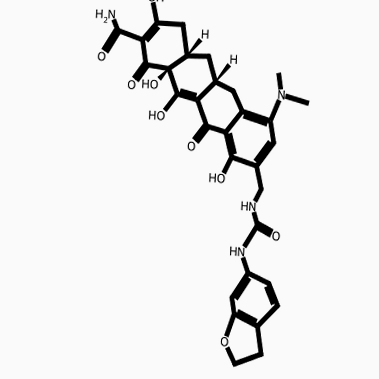 CN(C)c1cc(CNC(=O)Nc2ccc3c(c2)OCC3)c(O)c2c1C[C@H]1C[C@H]3CC(O)=C(C(N)=O)C(=O)[C@@]3(O)C(O)=C1C2=O